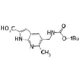 Cc1nc2[nH]c(C(=O)O)cc2cc1CNC(=O)OC(C)(C)C